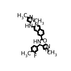 Cc1cc(Nc2cc3cc(C(=O)N[C@@H](c4ccc(C)c(F)c4)c4cnn(C)c4)ccc3cn2)n(C)n1